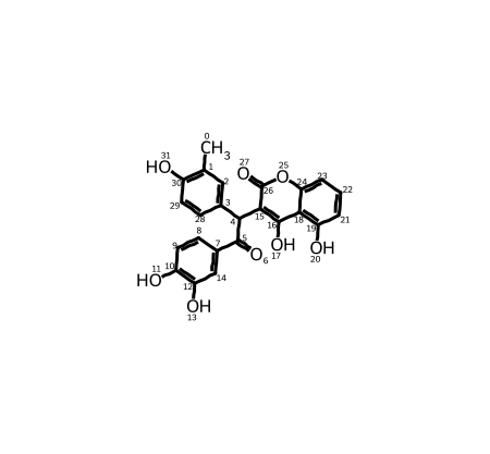 Cc1cc(C(C(=O)c2ccc(O)c(O)c2)c2c(O)c3c(O)cccc3oc2=O)ccc1O